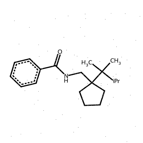 CC(C)C(C)(C)C1(CNC(=O)c2ccccc2)CCCC1